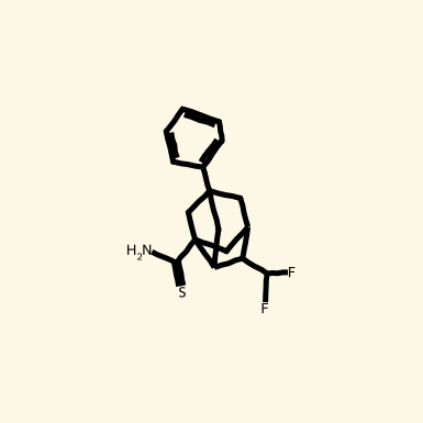 NC(=S)C12CC3CC(c4ccccc4)(CC1C3C(F)F)C2